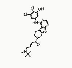 CN(CC=CC(=O)N1CCc2c(sc3ncnc(Nc4cc(O)c(Cl)c(Cl)c4)c23)C1)C(C)(C)C